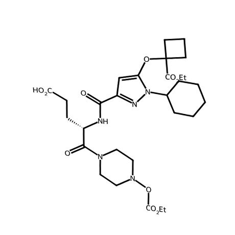 CCOC(=O)ON1CCN(C(=O)[C@H](CCC(=O)O)NC(=O)c2cc(OC3(C(=O)OCC)CCC3)n(C3CCCCC3)n2)CC1